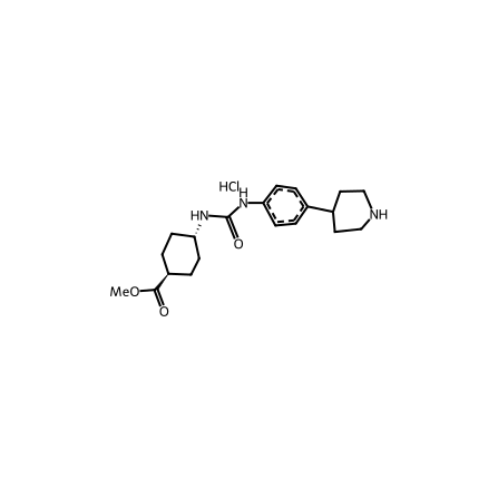 COC(=O)[C@H]1CC[C@H](NC(=O)Nc2ccc(C3CCNCC3)cc2)CC1.Cl